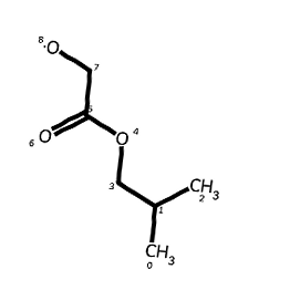 CC(C)COC(=O)C[O]